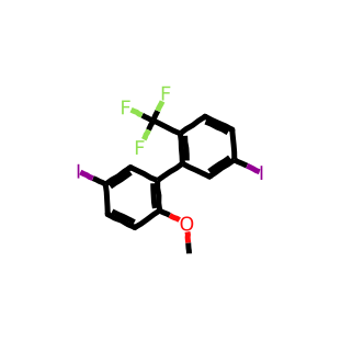 COc1ccc(I)cc1-c1cc(I)ccc1C(F)(F)F